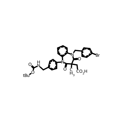 CC(C)(C)OC(=O)NCc1ccc(N2C(=O)C(C)(CC(=O)O)C(=O)N(Cc3ccc(Br)cc3)c3ccccc32)cc1